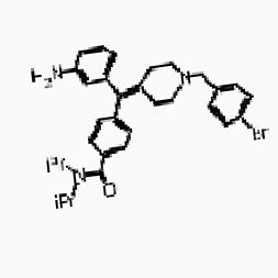 CC(C)N(C(=O)c1ccc(C(=C2CCN(Cc3ccc(Br)cc3)CC2)c2cccc(N)c2)cc1)C(C)C